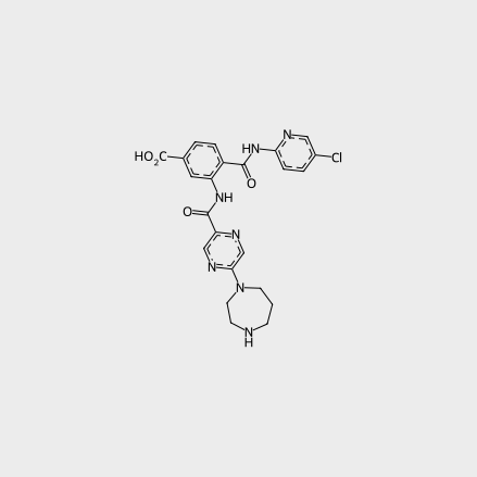 O=C(O)c1ccc(C(=O)Nc2ccc(Cl)cn2)c(NC(=O)c2cnc(N3CCCNCC3)cn2)c1